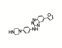 c1coc(-c2ccc3nnc(Nc4ccc(N5CCNCC5)cc4)nc3c2)c1